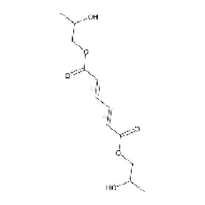 CC(O)COC(=O)/C=C/C=C/C(=O)OCC(C)O